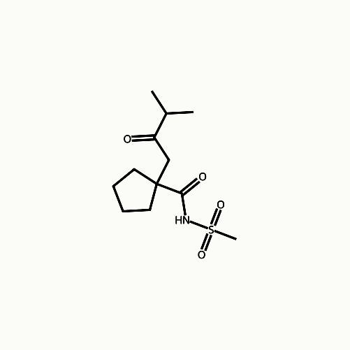 CC(C)C(=O)CC1(C(=O)NS(C)(=O)=O)CCCC1